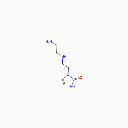 NCCNCCn1cc[nH]c1=O